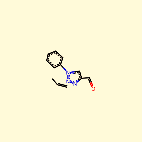 C=CC.O=Cc1cn(-c2ccccc2)nn1